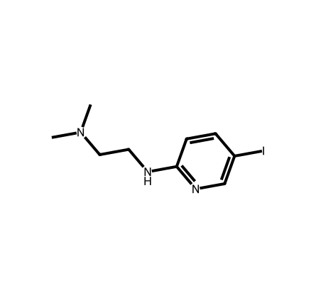 CN(C)CCNc1ccc(I)cn1